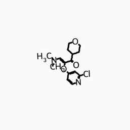 CN(C)C=C(Oc1ccnc(Cl)c1)C(=O)C1CCOCC1